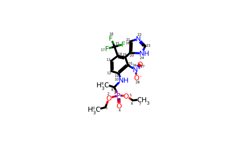 CCOP(=O)(OCC)C(C)Nc1ccc(C(F)(F)F)c(-c2cnc[nH]2)c1[N+](=O)[O-]